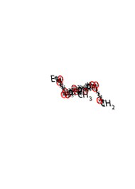 C=CC(=O)CCCCCOC(=O)Oc1ccc(C(=O)Cc2ccc(OC(=O)c3ccc(OC(=O)OCCCCOC(=O)CC)cc3)c(C)c2)cc1